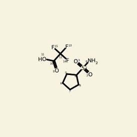 NS(=O)(=O)C1CCCC1.O=C(O)C(F)(F)F